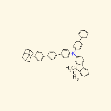 CC1(C)c2ccccc2-c2ccc(N(c3ccc(-c4ccccc4)cc3)c3ccc(-c4ccc(-c5ccc(C67CC8CC(CC(C8)C6)C7)cc5)cc4)cc3)cc21